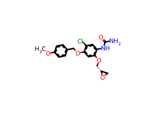 COc1ccc(COc2cc(OC[C@@H]3CO3)c(NC(N)=O)cc2Cl)cc1